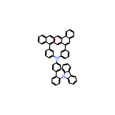 c1cc(-c2cccc3ccccc23)cc(N(c2ccc(-c3ccccc3-n3c4ccccc4c4ccccc43)cc2)c2cccc(-c3cc4ccccc4c4ccccc34)c2)c1